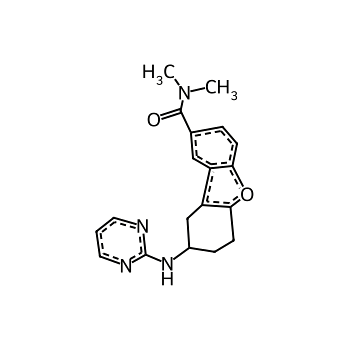 CN(C)C(=O)c1ccc2oc3c(c2c1)CC(Nc1ncccn1)CC3